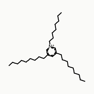 CCCCCCCCCc1cc(CCCCCCCCC)c[n+](CCCCCCCC)c1